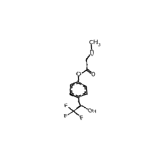 COCC(=O)Oc1ccc(C(O)C(F)(F)F)cc1